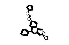 Clc1cc(CC(c2ccccc2)c2cccc(OCOC3CCCC3)c2)ccn1